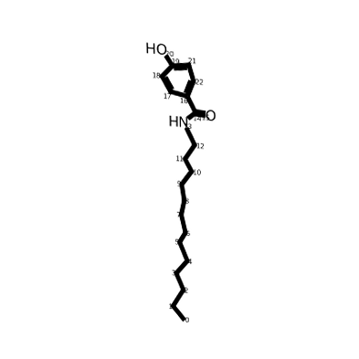 CCCCCCCCCCCCCNC(=O)c1ccc(O)cc1